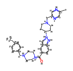 Cc1cnc(CN2CCC(n3cc4cc(C(=O)N5CCN(Cc6ccc(C(F)(F)F)cc6)CC5)ccc4n3)CC2)cn1